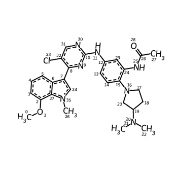 COc1cccc2c(-c3nc(Nc4ccc(N5CCC(N(C)C)C5)c(NC(C)=O)c4)ncc3Cl)cn(C)c12